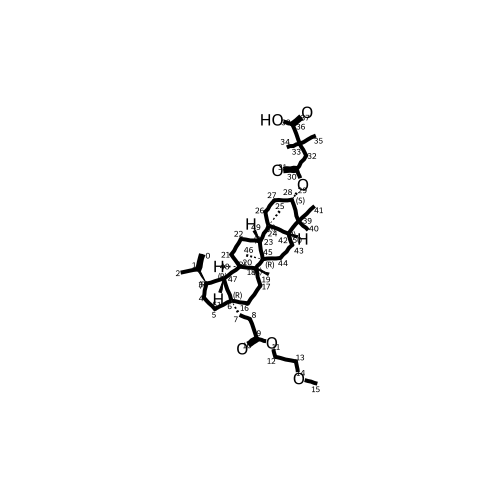 C=C(C)[C@@H]1CC[C@]2(CCC(=O)OCCOC)CC[C@]3(C)[C@H](CC[C@@H]4[C@@]5(C)CC[C@H](OC(=O)CC(C)(C)C(=O)O)C(C)(C)[C@@H]5CC[C@]43C)[C@@H]12